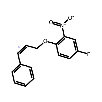 O=[N+]([O-])c1cc(F)ccc1OC/C=C\c1ccccc1